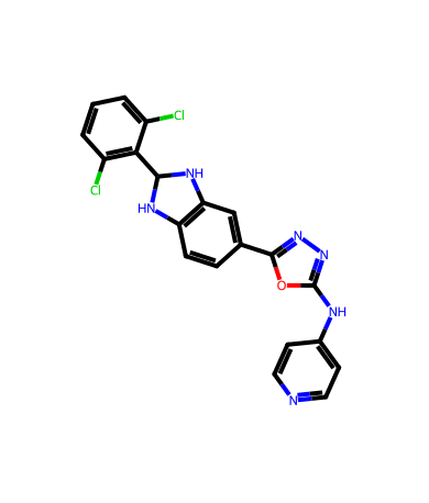 Clc1cccc(Cl)c1C1Nc2ccc(-c3nnc(Nc4ccncc4)o3)cc2N1